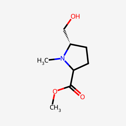 COC(=O)C1CC[C@@H](CO)N1C